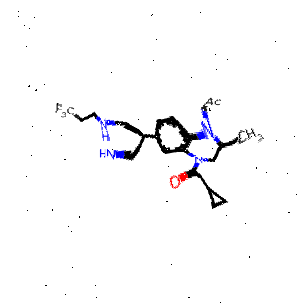 CC(=O)N1c2ccc(/C(C=N)=C/NCCC(F)(F)F)cc2N(C(=O)C2CC2)CC1C